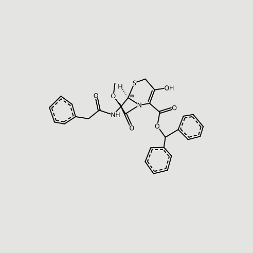 COC1(NC(=O)Cc2ccccc2)C(=O)N2C(C(=O)OC(c3ccccc3)c3ccccc3)=C(O)CS[C@@H]21